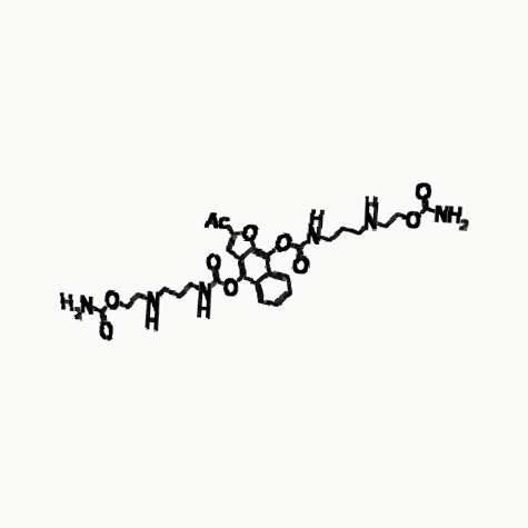 CC(=O)c1cc2c(OC(=O)NCCCNCCOC(N)=O)c3ccccc3c(OC(=O)NCCCNCCOC(N)=O)c2o1